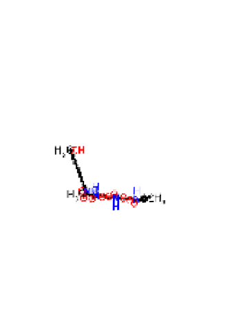 C=C(O)CCCCCCCCCCCCCCCCC(=O)N[C@@H](CCC(=O)NCCOCCOCC(=O)NCCOCCOCC(=O)NCc1ccc(CC)cc1)C(C)=O